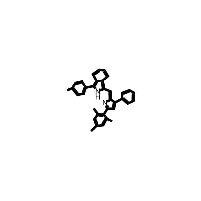 Cc1ccc(-c2[nH]c(/C=C3\N=C(c4c(C)cc(C)cc4C)C=C3c3ccccc3)c3ccccc23)cc1